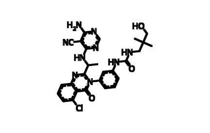 CC(Nc1ncnc(N)c1C#N)c1nc2cccc(Cl)c2c(=O)n1-c1cccc(NC(=O)NCC(C)(C)CO)c1